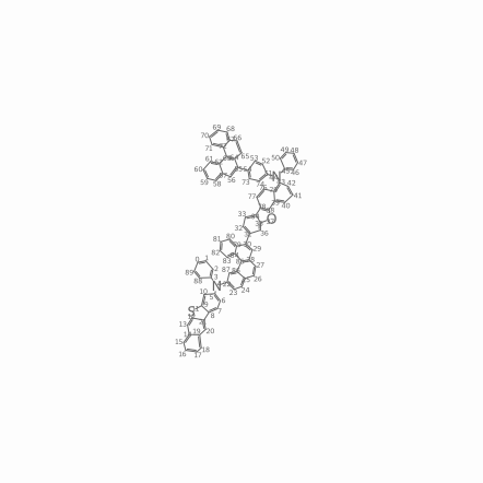 c1ccc(N(c2ccc3c(c2)sc2cc4ccccc4cc23)c2ccc3ccc4cc(-c5ccc6c(c5)oc5c7cccc(N(c8ccccc8)c8ccc(-c9cc%10ccccc%10c%10c9ccc9ccccc9%10)cc8)c7ccc65)c5ccccc5c4c3c2)cc1